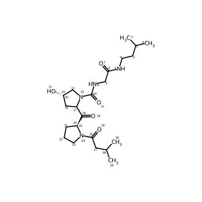 CC(C)CCNC(=O)CNC(=O)N1C[C@@H](O)CC1C(=O)[C@@H]1CCCN1C(=O)CC(C)C